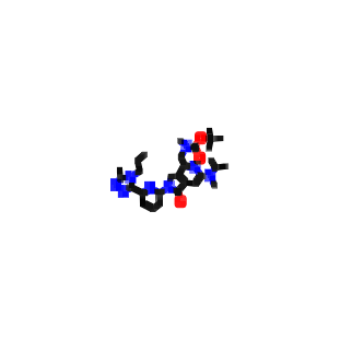 CCCn1c(C)nnc1-c1cccc(N2Cc3c(cc(N(C)C(C)C)nc3CN(C)C(=O)OC(C)(C)C)C2=O)n1